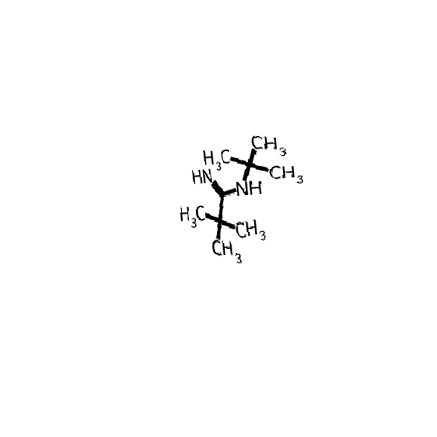 CC(C)(C)NC(=N)C(C)(C)C